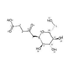 O=C(O)CCC(=O)C[C@H]1O[C@H](CO)[C@@H](O)[C@H](O)[C@H]1O